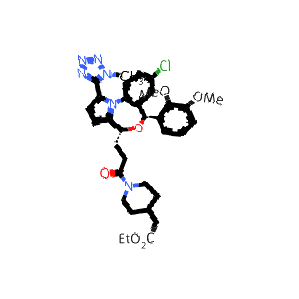 CCOC(=O)CC1CCN(C(=O)CC[C@H]2O[C@H](c3cccc(OC)c3OC)c3cc(Cl)ccc3-n3c(-c4nnnn4C)ccc32)CC1